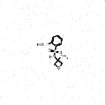 CC1(NS(=O)(=O)c2ccccc2C(=O)O)COC1